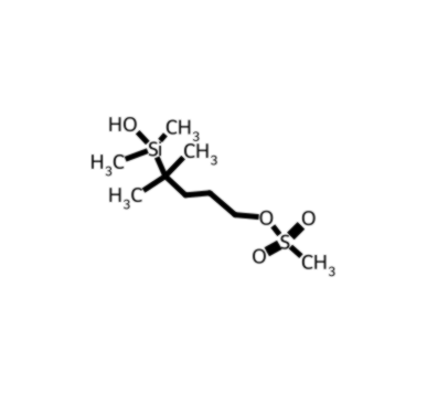 CC(C)(CCCOS(C)(=O)=O)[Si](C)(C)O